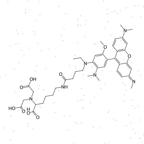 CCN(CCCC(=O)NCCCCC(C(=O)O)N(CC(=O)O)CC(=O)O)c1cc(OC)c(-c2c3cc/c(=N\C)cc-3oc3cc(N(C)C)ccc23)cc1N(C)C